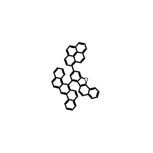 c1ccc2c(c1)ccc1c(-c3cc(-c4ccc5ccc6cccc7ccc4c5c67)cc4oc5c6ccccc6ccc5c34)c3c(ccc4ccccc43)cc12